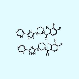 O=C(c1ccc(F)c(F)c1F)N1CCC[C@H](c2noc(-c3ccccn3)n2)C1.O=C(c1ccc(F)c(F)c1F)N1CCC[C@H](c2noc(-c3ccccn3)n2)C1